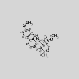 COC(=O)C1=CO[C@H](C)[C@@H]2CN3CCc4c([nH]c5cc(OC)ccc45)[C@H]3C[C@@H]12